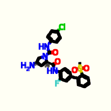 CS(=O)(=O)c1ccccc1-c1ccc(NC(=O)[C@H]2C[C@H](N)CN2C(=O)Nc2ccc(Cl)cc2)c(F)c1